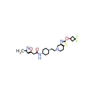 Cc1cc(CC(=O)N[C@H]2CC[C@H](CCN3CCc4sc(OC5CC(F)(F)C5)nc4C3)CC2)on1